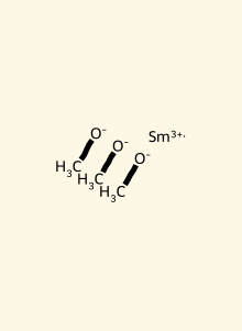 C[O-].C[O-].C[O-].[Sm+3]